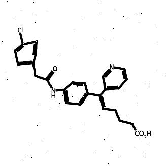 O=C(O)CCCC=C(c1ccc(NC(=O)Cc2ccc(Cl)cc2)cc1)c1cccnc1